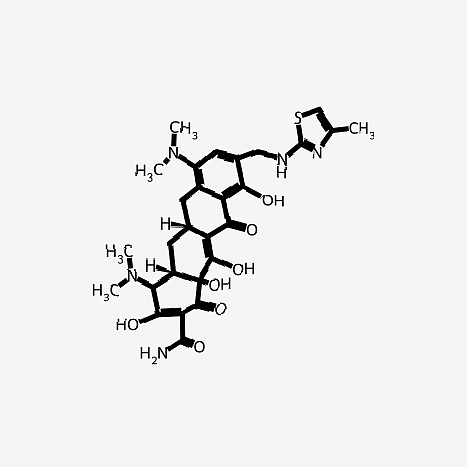 Cc1csc(NCc2cc(N(C)C)c3c(c2O)C(=O)C2=C(O)C4(O)C(=O)C(C(N)=O)=C(O)C(N(C)C)[C@@H]4C[C@@H]2C3)n1